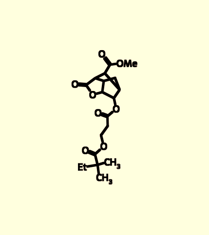 CCC(C)(C)C(=O)OCCC(=O)OC1C2CC3C1OC(=O)C3C2C(=O)OC